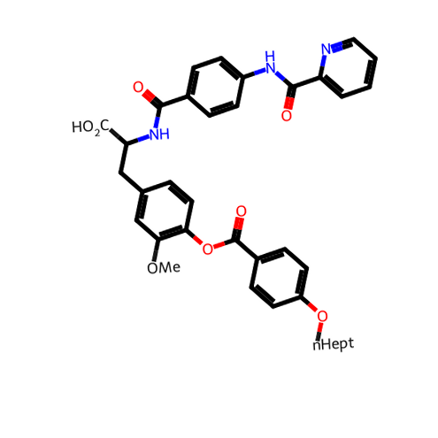 CCCCCCCOc1ccc(C(=O)Oc2ccc(CC(NC(=O)c3ccc(NC(=O)c4ccccn4)cc3)C(=O)O)cc2OC)cc1